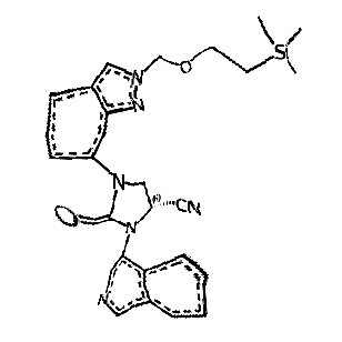 C[Si](C)(C)CCOCn1cc2cccc(N3C[C@H](C#N)N(c4cncc5ccccc45)C3=O)c2n1